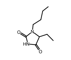 CCCCN1C(=O)NC(=O)C1CC